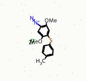 COc1cc(Sc2ccc(C)cc2)c(OC)cc1[N+]#N.[Cl-].[Zn]